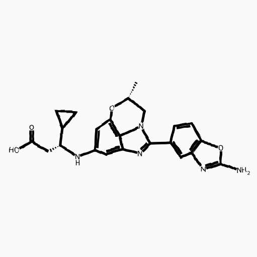 C[C@@H]1Cn2c(-c3ccc4oc(N)nc4c3)nc3cc(N[C@H](CC(=O)O)C4CC4)cc(c32)O1